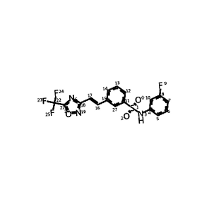 O=S(=O)(Nc1cccc(F)c1)c1cccc(C=Cc2noc(C(F)(F)F)n2)c1